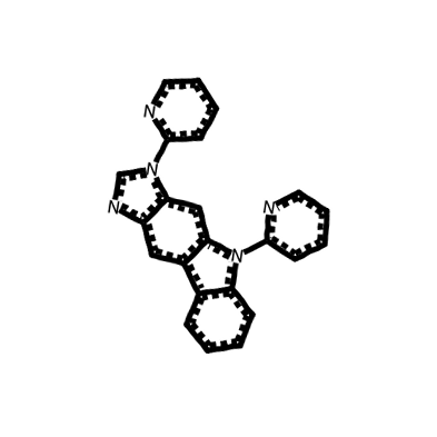 c1ccc(-n2cnc3cc4c5ccccc5n(-c5ccccn5)c4cc32)nc1